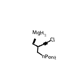 C=CC(C#CCl)CCCCCC.[MgH2]